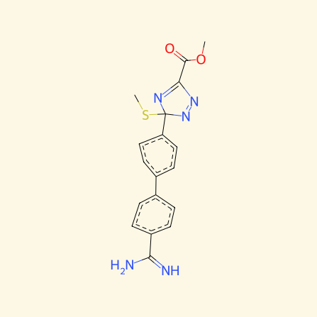 COC(=O)C1=NC(SC)(c2ccc(-c3ccc(C(=N)N)cc3)cc2)N=N1